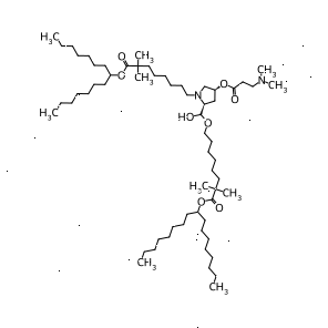 CCCCCCCCC(CCCCCCCC)OC(=O)C(C)(C)CCCCCCOC(O)[C@@H]1C[C@H](OC(=O)CCN(C)C)CN1CCCCCCC(C)(C)C(=O)OC(CCCCCCC)CCCCCCC